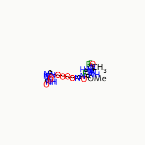 COc1cc(C(=O)NC2CCN(CCOCCOCCOCCOCCNc3cccc4nnn(C5CCC(=O)NC5=O)c(=O)c34)CC2)c(F)cc1Nc1ncc2c(n1)N(C1CCCC1)CC(F)(F)C(=O)N2C